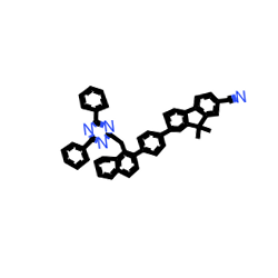 CC1(C)c2cc(C#N)ccc2-c2ccc(-c3ccc(-c4ccc5ccccc5c4Cc4nc(-c5ccccc5)nc(-c5ccccc5)n4)cc3)cc21